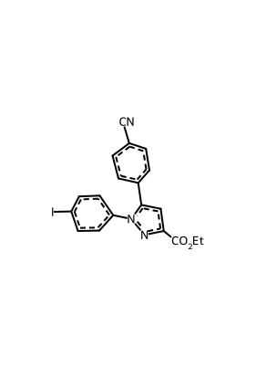 CCOC(=O)c1cc(-c2ccc(C#N)cc2)n(-c2ccc(I)cc2)n1